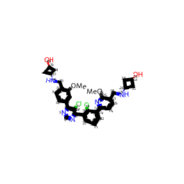 COc1cc(-c2ncnc(-c3cccc(-c4ccc(CN[C@H]5C[C@@H](O)C5)c(OC)n4)c3Cl)c2Cl)ccc1CN[C@H]1C[C@H](O)C1